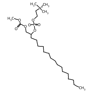 CCCCCCCCCCCCCCCCC(COC(=O)OC)OP(=O)([O-])OCC[N+](C)(C)C